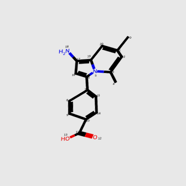 Cc1cc(C)n2c(-c3ccc(C(=O)O)cc3)cc(N)c2c1